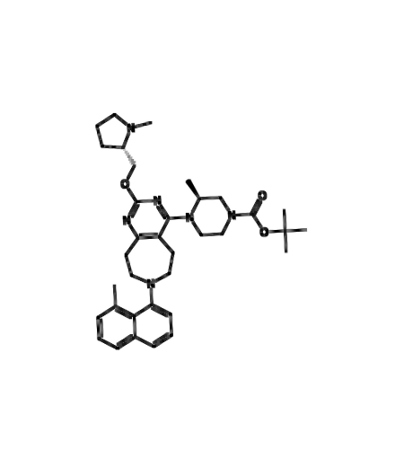 Cc1cccc2cccc(N3CCc4nc(OC[C@@H]5CCCN5C)nc(N5CCN(C(=O)OC(C)(C)C)C[C@@H]5C)c4CC3)c12